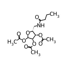 CCCC(=O)NC[C@H]1OC(OC(C)=O)[C@H](OC(C)=O)[C@@H]1OC(C)=O